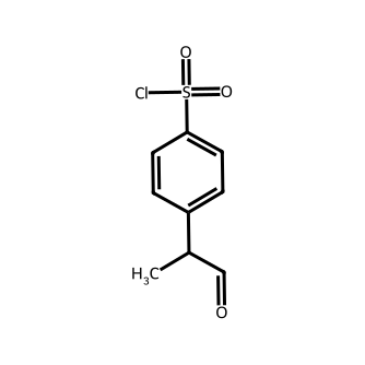 CC(C=O)c1ccc(S(=O)(=O)Cl)cc1